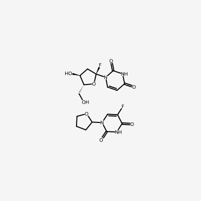 O=c1[nH]c(=O)n(C2CCCO2)cc1F.O=c1ccn([C@@]2(F)C[C@H](O)[C@@H](CO)O2)c(=O)[nH]1